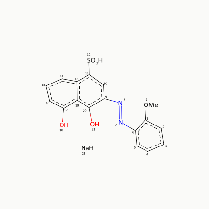 COc1ccccc1N=Nc1cc(S(=O)(=O)O)c2cccc(O)c2c1O.[NaH]